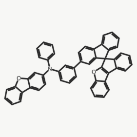 c1ccc(N(c2cccc(-c3ccc4c(c3)C3(c5ccccc5-4)c4ccccc4-c4c3oc3ccccc43)c2)c2ccc3c(c2)oc2ccccc23)cc1